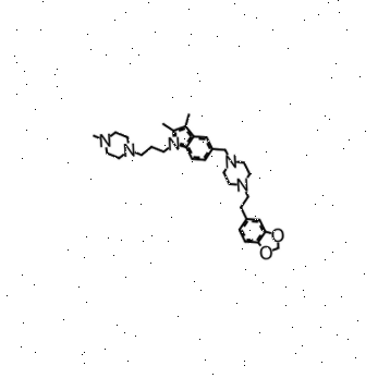 Cc1c(C)n(CCCN2CCN(C)CC2)c2ccc(CN3CCN(CCc4ccc5c(c4)OCO5)CC3)cc12